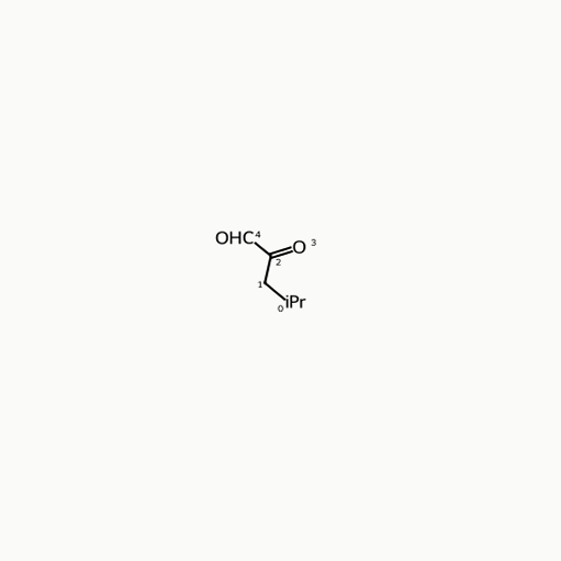 CC(C)CC(=O)C=O